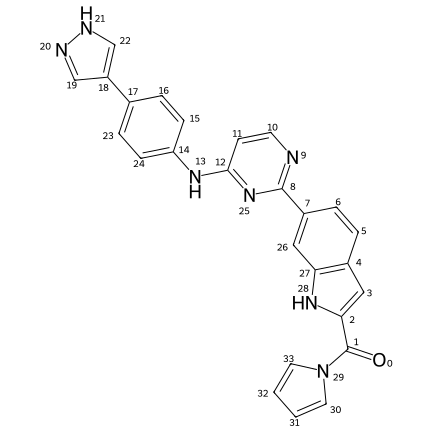 O=C(c1cc2ccc(-c3nccc(Nc4ccc(-c5cn[nH]c5)cc4)n3)cc2[nH]1)n1cccc1